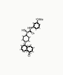 COc1cccc(NC(=O)N(S)C2CCN(c3ccnc4c(Cl)cccc34)CC2)c1